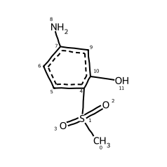 CS(=O)(=O)c1ccc(N)cc1O